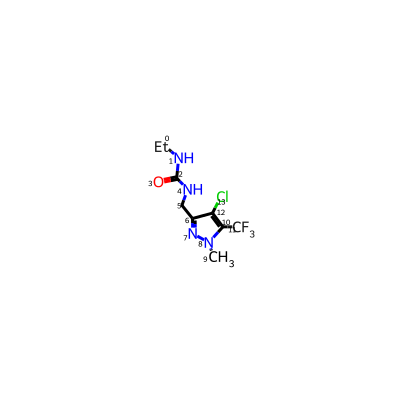 CCNC(=O)NCc1nn(C)c(C(F)(F)F)c1Cl